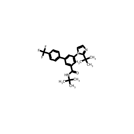 CC(C)(C)NC(=O)c1cc(-c2ccc(C(F)(F)F)cc2)cc(-n2ccnc2C(C)(C)C)c1